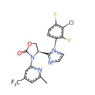 Cc1cc(C(F)(F)F)cc(N2C(=O)OC[C@H]2c2nccn2-c2ccc(F)c(Cl)c2F)n1